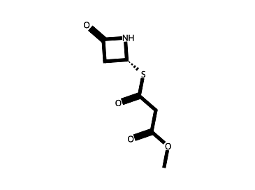 COC(=O)CC(=O)S[C@@H]1CC(=O)N1